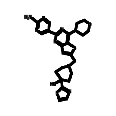 Nc1ncc(-c2nc(N3CCOCC3)c3sc(CN4CCC(O)(c5nccs5)CC4)cc3n2)cn1